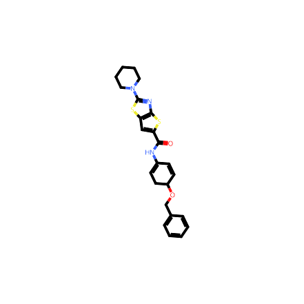 O=C(NC1=CCC(OCc2ccccc2)C=C1)c1cc2sc(N3CCCCC3)nc2s1